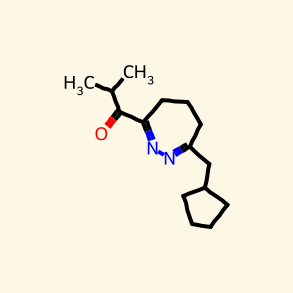 CC(C)C(=O)C1=NN=C(CC2CCCC2)CCC1